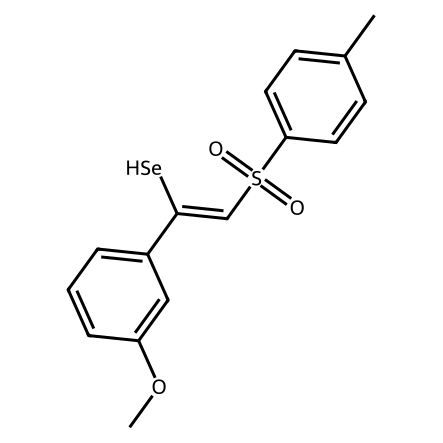 COc1cccc(C([SeH])=CS(=O)(=O)c2ccc(C)cc2)c1